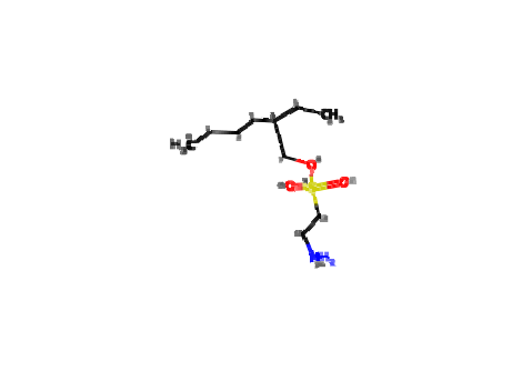 CCCCC(CC)COS(=O)(=O)CCN